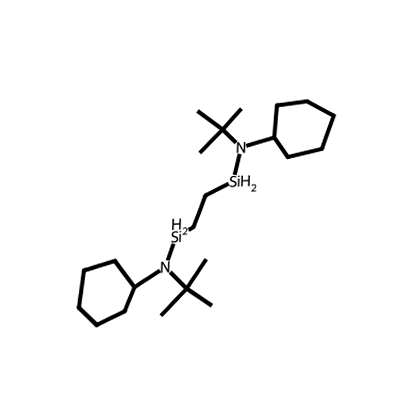 CC(C)(C)N([SiH2]CC[SiH2]N(C1CCCCC1)C(C)(C)C)C1CCCCC1